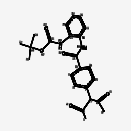 CC(=O)C(C(C)=O)c1ccc(C(=O)Nc2ccccc2NC(=O)OC(C)(C)C)cc1